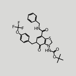 CC(C)(C)OC(=O)NN1CSC2=C1C(=O)C(Cc1ccc(OC(F)(F)F)cc1)C=C2C(=O)NCc1ccccc1